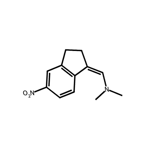 CN(C)/C=C1/CCc2cc([N+](=O)[O-])ccc21